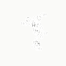 Cn1c(SCC2=C(C(=O)O)N3C(=O)C(NC(=O)C(NC(=O)c4cccc(O)c4O)c4ccc(O)cc4)[C@@H]3SC2)nnc(O)c1=O